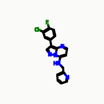 Fc1ccc(-c2cnn3c(NCc4ccccn4)ccnc23)cc1Cl